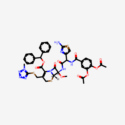 CO[C@@]1(NC(=O)C(NC(=O)c2ccc(OC(C)=O)c(OC(C)=O)c2)c2csc(N)n2)C(=O)N2C(C(=O)OC(c3ccccc3)c3ccccc3)=C(CSc3nnnn3C)CS[C@H]21